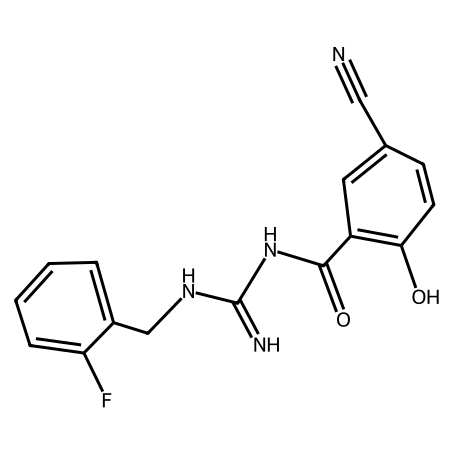 N#Cc1ccc(O)c(C(=O)NC(=N)NCc2ccccc2F)c1